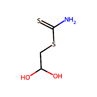 NC(=S)SCC(O)O